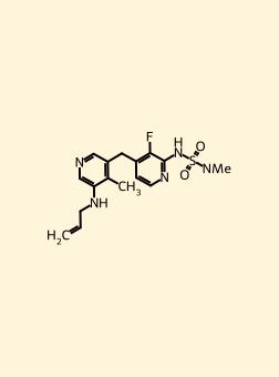 C=CCNc1cncc(Cc2ccnc(NS(=O)(=O)NC)c2F)c1C